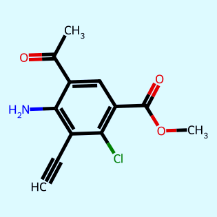 C#Cc1c(N)c(C(C)=O)cc(C(=O)OC)c1Cl